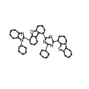 c1ccc(-c2nc(-c3cccc4c3sc3ccccc34)nc(-c3cccc4oc5c(-c6nc7ccccc7n6-c6ccccc6)cccc5c34)n2)cc1